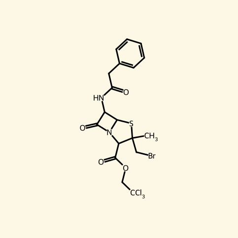 CC1(CBr)SC2C(NC(=O)Cc3ccccc3)C(=O)N2C1C(=O)OCC(Cl)(Cl)Cl